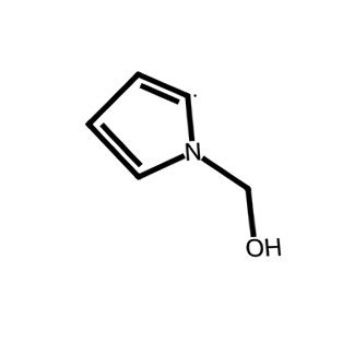 OCn1[c]ccc1